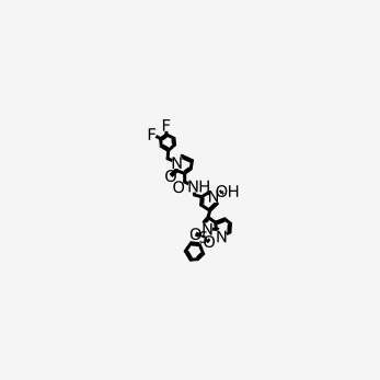 O=C(NCc1cc(-c2cn(S(=O)(=O)c3ccccc3)c3ncccc23)c[n+](O)c1)c1cccn(Cc2ccc(F)c(F)c2)c1=O